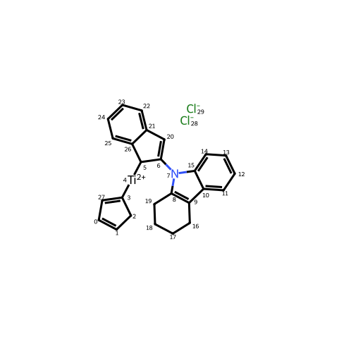 C1=CC[C]([Ti+2][CH]2C(n3c4c(c5ccccc53)CCCC4)=Cc3ccccc32)=C1.[Cl-].[Cl-]